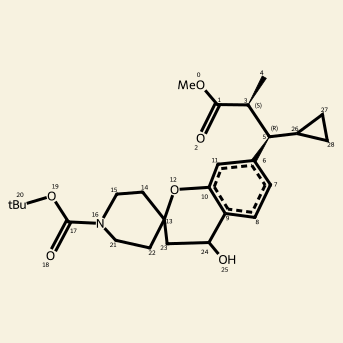 COC(=O)[C@@H](C)[C@H](c1ccc2c(c1)OC1(CCN(C(=O)OC(C)(C)C)CC1)CC2O)C1CC1